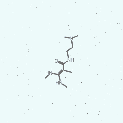 CNC(NC)=C(C)C(=O)NCCN(C)C